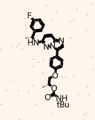 C[C@H](COc1ccc(-c2cnc3ccc(N[C@H](C)c4cccc(F)c4)nn23)cc1)OC(=O)NC(C)(C)C